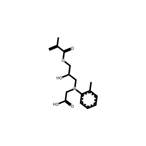 C=C(C)C(=O)OCC(O)CN(CC(=O)O)c1ccccc1C